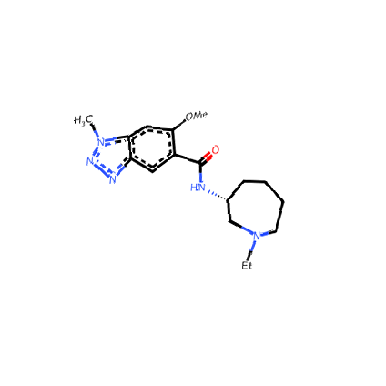 CCN1CCCC[C@@H](NC(=O)c2cc3nnn(C)c3cc2OC)C1